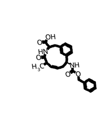 CC1C=CC[C@H](NC(=O)OCc2ccccc2)c2cccc(c2)CC(C(=O)O)NC1=O